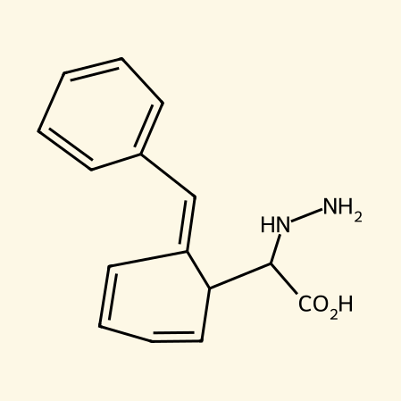 NNC(C(=O)O)C1C=CC=CC1=Cc1ccccc1